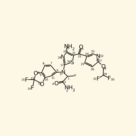 CC(C(N)=O)N(c1ccc2c(c1)OC(F)(F)O2)c1nc(N)c(C(=O)c2ccc(OC(F)F)nc2)s1